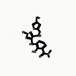 CN(C)C(=O)c1cccc(Nc2n[s+]([O-])nc2NCc2cc(C(C)(C)C)co2)c1O